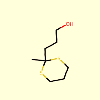 CC1(CCCO)SCCCS1